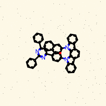 c1ccc(-c2cc(-c3ccc(-n4c5ccccc5c5ccc6c7ccccc7n(-c7ccc8ccccc8c7)c6c54)cc3)nc(-c3ccccc3)n2)cc1